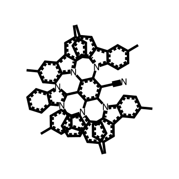 Cc1ccc2c(c1)c1cc(C)ccc1n2-c1c(C#N)c(-n2c3ccc(C)cc3c3cc(C)ccc32)c(-n2c3ccc(C)cc3c3cc(C)ccc32)c(-c2nc3ccccc3n2-c2ccccc2)c1-n1c2ccc(C)cc2c2cc(C)ccc21